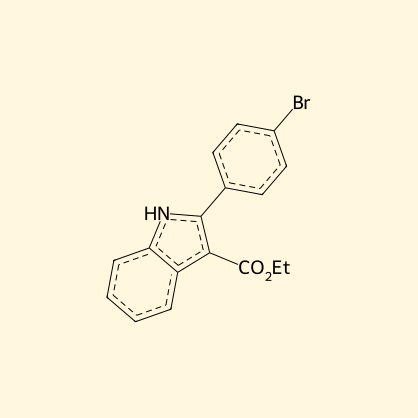 CCOC(=O)c1c(-c2ccc(Br)cc2)[nH]c2ccccc12